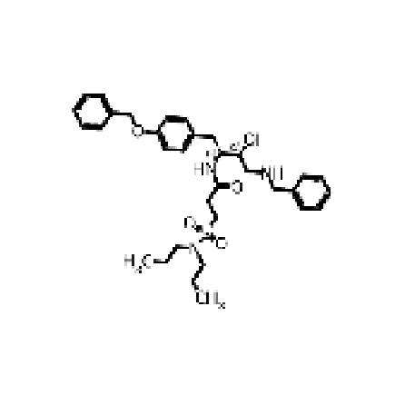 CCCN(CCC)S(=O)(=O)CCC(=O)N[C@@H](Cc1ccc(OCc2ccccc2)cc1)[C@@H](O)CNCc1ccccc1